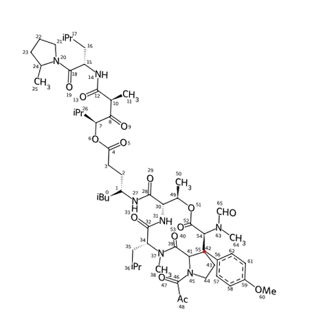 CC[C@H](C)[C@H](CCC(=O)O[C@H](C(=O)[C@H](C)C(=O)N[C@@H](CC(C)C)C(=O)N1CCCC1C)C(C)C)NC(=O)[C@@H](NC(=O)[C@@H](CC(C)C)N(C)C(=O)C1CCCN1C(=O)C(C)=O)[C@@H](C)OC(=O)[C@H](Cc1ccc(OC)cc1)N(C)C=O